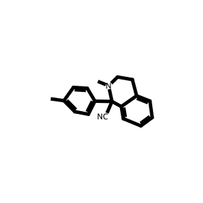 Cc1ccc(C2(C#N)c3ccccc3CCN2C)cc1